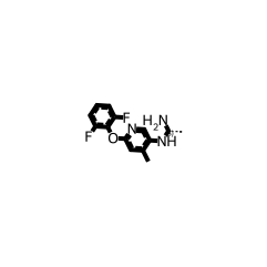 Cc1cc(Oc2c(F)cccc2F)ncc1N[C@@H](C)N